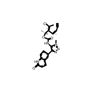 C#C/C=C\C(=C(/C)Cl)[C@@H](C)OC(=O)Nc1c(-c2ccc3[nH]c(=O)ccc3c2)nnn1C